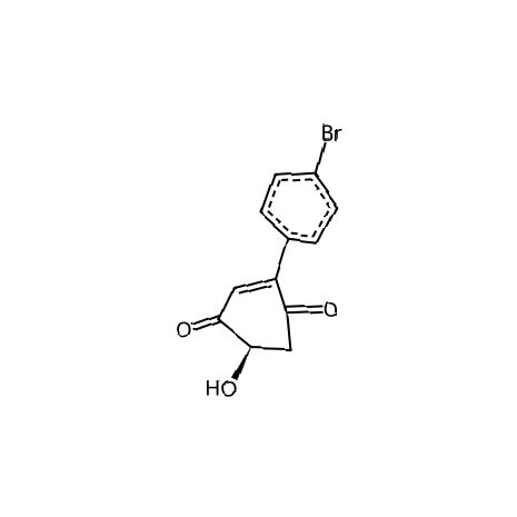 O=C1C[C@@H](O)C(=O)C=C1c1ccc(Br)cc1